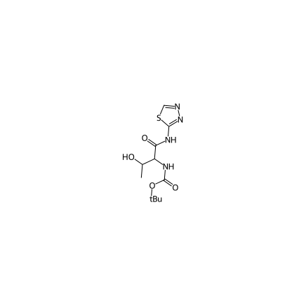 CC(O)C(NC(=O)OC(C)(C)C)C(=O)Nc1nncs1